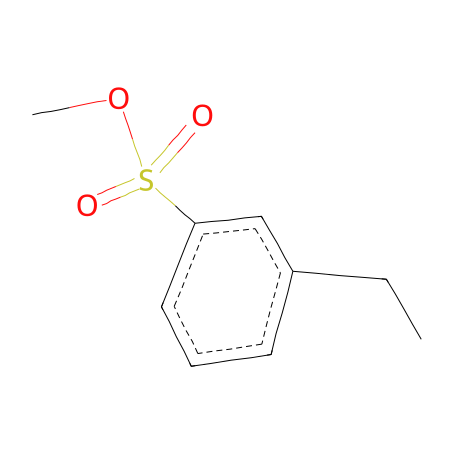 CCc1cccc(S(=O)(=O)OC)c1